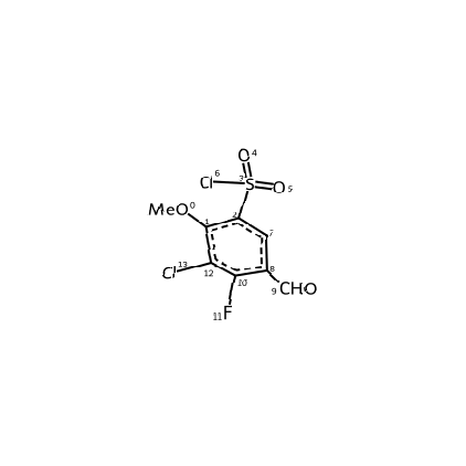 COc1c(S(=O)(=O)Cl)cc(C=O)c(F)c1Cl